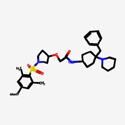 COc1cc(C)c(S(=O)(=O)N2CCC(OCC(=O)NC3CCC(Cc4ccccc4)(N4CCCCC4)CC3)C2)c(C)c1